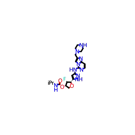 CC(C)NC(=O)O[C@H]1CO[C@@H](c2cc(Nc3nccc4nc(CN5CCNCC5)cn34)n[nH]2)[C@@H]1F